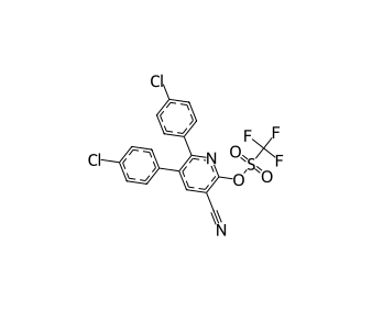 N#Cc1cc(-c2ccc(Cl)cc2)c(-c2ccc(Cl)cc2)nc1OS(=O)(=O)C(F)(F)F